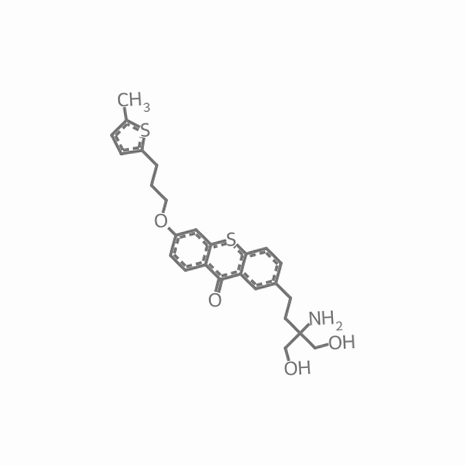 Cc1ccc(CCCOc2ccc3c(=O)c4cc(CCC(N)(CO)CO)ccc4sc3c2)s1